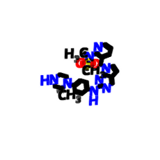 C[C@@H]1CNCCN1c1ccc(Nc2ncc3ccn(Cc4cccnc4N(C)S(C)(=O)=O)c3n2)cc1